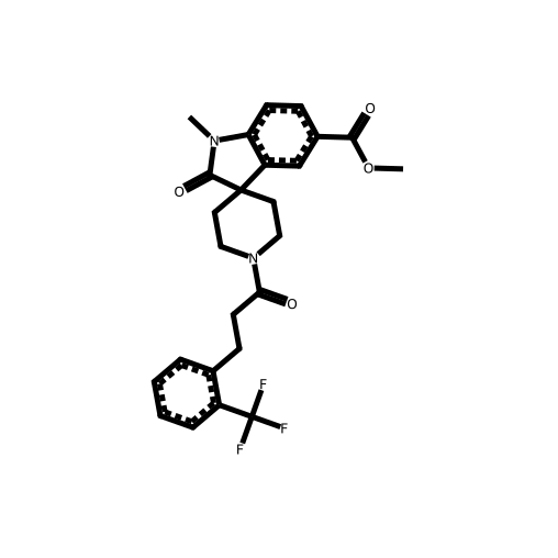 COC(=O)c1ccc2c(c1)C1(CCN(C(=O)CCc3ccccc3C(F)(F)F)CC1)C(=O)N2C